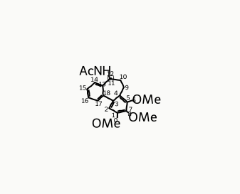 COc1cc2c(c(OC)c1OC)CC[C@H](NC(C)=O)c1ccccc1-2